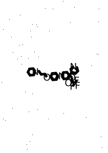 O=C(OC1(c2cccnc2)CCN(c2ccc(OCCCN3CCCCC3)cc2)CC1)C(F)(F)F